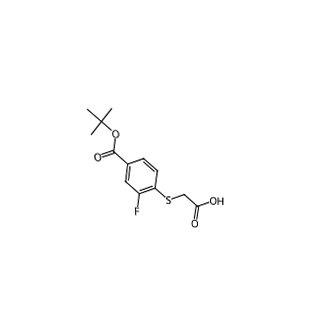 CC(C)(C)OC(=O)c1ccc(SCC(=O)O)c(F)c1